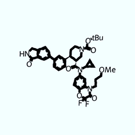 COCCCN1C(=O)C(F)(F)Oc2ccc(N(C(=O)[C@H]3CN(C(=O)OC(C)(C)C)CC[C@@H]3c3cccc(-c4ccc5c(c4)C(=O)NC5)c3)C3CC3)cc21